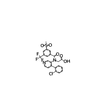 CS(=O)(=O)c1cc(C(=O)N(CC(=O)O)c2cnccc2-c2ccccc2Cl)cc(C(F)(F)F)c1